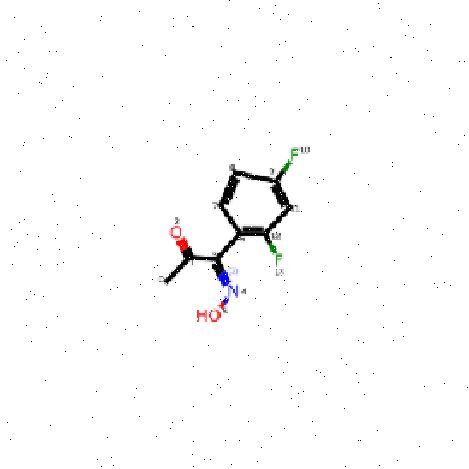 CC(=O)/C(=N\O)c1ccc(F)cc1F